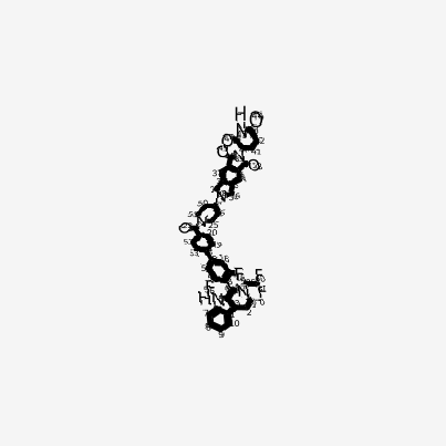 C[C@@H]1Cc2c([nH]c3ccccc23)[C@@H](c2c(F)cc(-c3ccc(C(=O)N4CCC(N5Cc6cc7c(cc6C5)C(=O)N(C5CCC(=O)NC5=O)C7=O)CC4)cc3)cc2F)N1CC(F)F